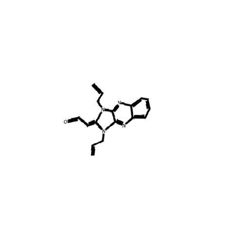 C=CCN1C(=CC=O)N(CC=C)c2nc3ccccc3nc21